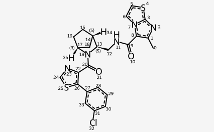 Cc1nc2sccn2c1C(=O)NC[C@@H]1[C@H]2CC[C@H](C2)N1C(=O)c1ncsc1-c1cccc(Cl)c1